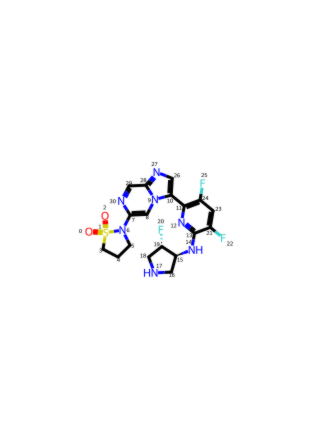 O=S1(=O)CCCN1c1cn2c(-c3nc(N[C@H]4CNC[C@@H]4F)c(F)cc3F)cnc2cn1